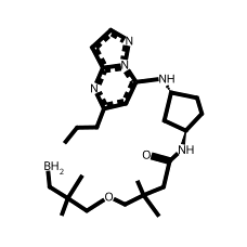 BCC(C)(C)COCC(C)(C)CC(=O)N[C@@H]1CC[C@@H](Nc2cc(CCC)nc3ccnn23)C1